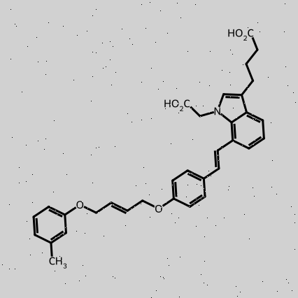 Cc1cccc(OC/C=C/COc2ccc(C=Cc3cccc4c(CCCC(=O)O)cn(CC(=O)O)c34)cc2)c1